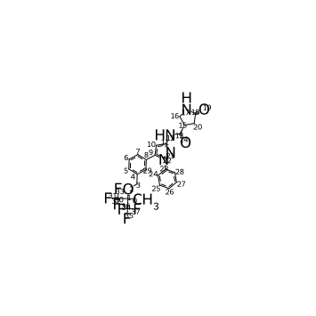 CC(OCc1cccc(-c2cc(NC(=O)[C@H]3CNC(=O)C3)nn2-c2ccccc2)c1)(C(F)(F)F)C(F)(F)F